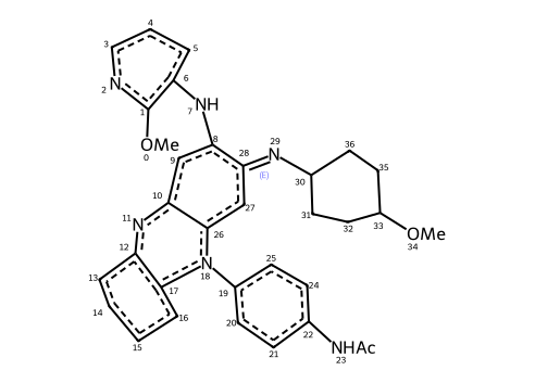 COc1ncccc1Nc1cc2nc3ccccc3n(-c3ccc(NC(C)=O)cc3)c-2c/c1=N\C1CCC(OC)CC1